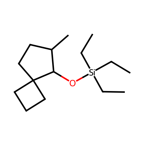 CC[Si](CC)(CC)OC1C(C)CCC12CCC2